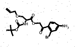 C=CCOCC(NC(=O)OC(C)(C)C)C(=O)OCC(=O)c1ccc(N)cc1Br